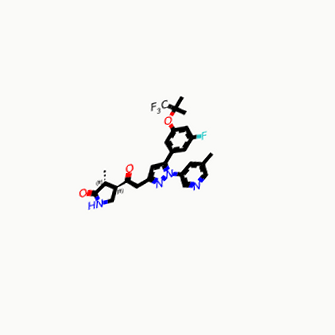 Cc1cncc(-n2nc(CC(=O)[C@H]3CNC(=O)[C@@H]3C)cc2-c2cc(F)cc(OC(C)(C)C(F)(F)F)c2)c1